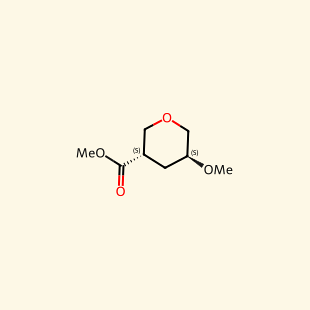 COC(=O)[C@@H]1COC[C@@H](OC)C1